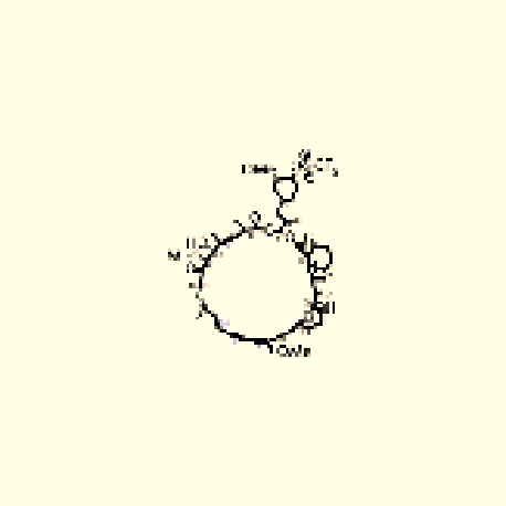 CO[C@H]1C[C@@H]2CC[C@@H](C)[C@@](O)(O2)C(=O)C(=O)N2CCCC[C@H]2C(=O)O[C@H]([C@H](C)C[C@@H]2CC[C@@H](OS(=O)(=O)C(F)(F)F)[C@H](OC)C2)CC(=O)[C@H](C)/C=C(\C)[C@@H](O)[C@@H](OC)C(=O)[C@H](C)C[C@H](C)/C=C/C=C/C=C/1C